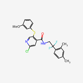 COc1cccc(Sc2cnc(Cl)cc2C(=O)NCC(F)(F)c2ccc(C)cc2C)c1